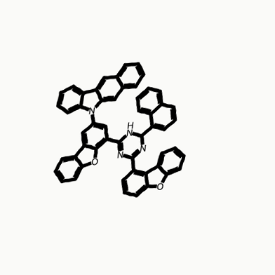 c1ccc2cc3c(cc2c1)c1ccccc1n3-c1cc(C2=NC(c3cccc4oc5ccccc5c34)=NC(c3cccc4ccccc34)N2)c2oc3ccccc3c2c1